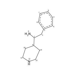 NC(Cc1ccccc1)C1CCNCC1